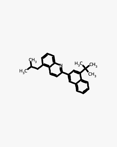 CC(C)Cc1cccc2nc(-c3cc(C(C)(C)C)c4ccccc4c3)ccc12